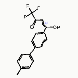 Cc1ccc(-c2ccc(/C(O)=C\C(=O)C(F)(F)F)cc2)cc1